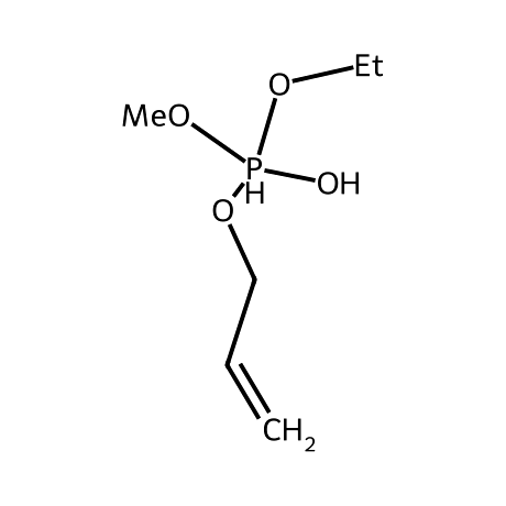 C=CCO[PH](O)(OC)OCC